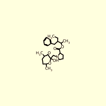 CCC(Cc1ccccc1)C(C)OC(=O)C1CCCN1CC1(O)OC(C)CCC(C)C1=O